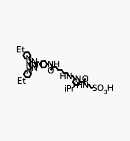 CCC1CCN(c2nc(N3CCC(CC)CC3)nc(N3CCC(NC(=O)CCCCCNCc4cc(C(C)C)cc(C(=O)NCCS(=O)(=O)O)n4)CC3)n2)CC1